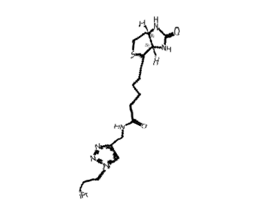 CC(C)CCn1cc(CNC(=O)CCCCC2SC[C@@H]3NC(=O)N[C@H]23)nn1